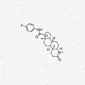 CN1C(=O)CC[C@]2(C)[C@H]3CC[C@]4(C)[C@@H](C(=O)Nc5ccc(F)cc5)CC[C@H]4[C@@H]3CC[C@@H]12